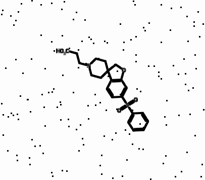 O=C(O)CCN1CCC2(CC1)COc1cc(S(=O)(=O)c3ccccc3)ccc12